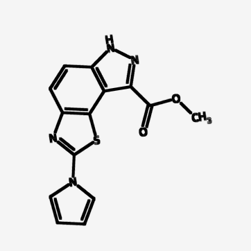 COC(=O)c1n[nH]c2ccc3nc(-n4cccc4)sc3c12